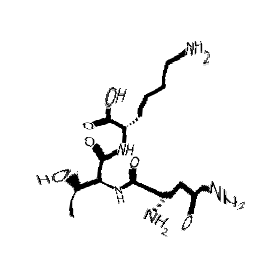 C[C@@H](O)[C@H](NC(=O)[C@@H](N)CC(N)=O)C(=O)N[C@@H](CCCCN)C(=O)O